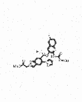 COC(=O)Cn1cc2cc(-n3cccn3)c([C@H](C)Oc3cc4cc(F)ccc4nc3NC(=O)OC(C)(C)C)cc2n1